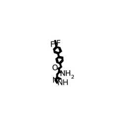 CC(F)(F)c1ccc(-c2ccc(CC(=O)[C@@H](N)Cc3c[nH]cn3)cc2)cc1